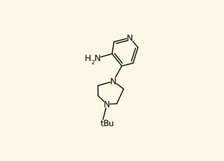 CC(C)(C)N1CCN(c2ccncc2N)CC1